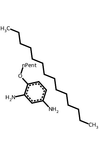 CCCCCCCCCCCCCC.CCCCCOc1ccc(N)cc1N